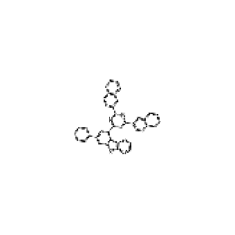 c1ccc(-c2cc(-c3cc(-c4ccc5ccccc5c4)nc(-c4ccc5ccccc5c4)n3)c3c(c2)sc2ccccc23)cc1